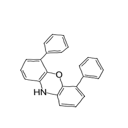 c1ccc(-c2cccc3c2Oc2c(cccc2-c2ccccc2)N3)cc1